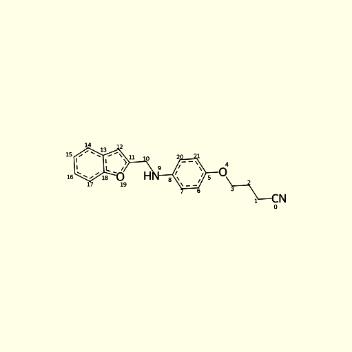 N#CCCCOc1ccc(NCc2cc3ccccc3o2)cc1